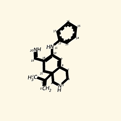 C=C(C)C12CNCCC1=CC(Nc1ccccc1)=C(C=N)C2